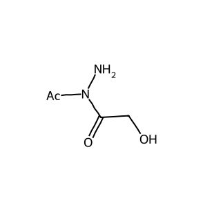 CC(=O)N(N)C(=O)CO